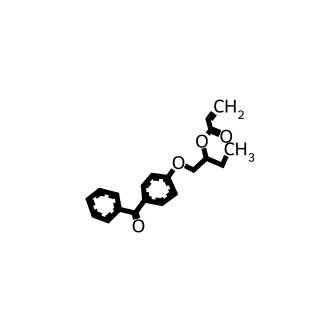 C=CC(=O)OC(CC)COc1ccc(C(=O)c2ccccc2)cc1